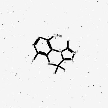 COc1ccc(F)c2c1-n1c(C)nnc1C(C)(C)N2